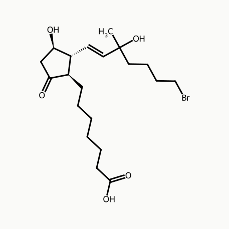 CC(O)(C=C[C@H]1[C@H](O)CC(=O)[C@@H]1CCCCCCC(=O)O)CCCCBr